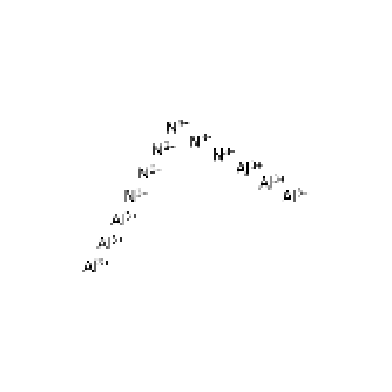 [Al+3].[Al+3].[Al+3].[Al+3].[Al+3].[Al+3].[N-3].[N-3].[N-3].[N-3].[N-3].[N-3]